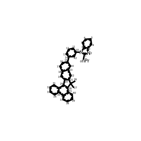 CCCc1nc2ccccc2n1-c1cccc(-c2ccc3cc4c(cc3c2)C(C)(C)c2c-4c3ccccc3c3ccccc23)c1